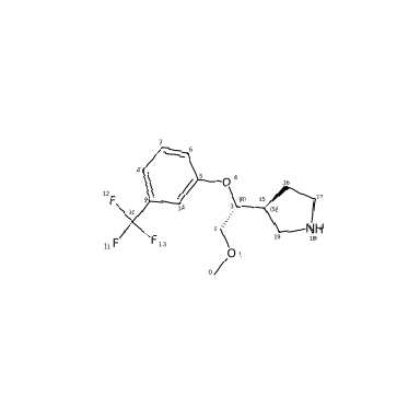 COC[C@H](Oc1cccc(C(F)(F)F)c1)[C@H]1CCNC1